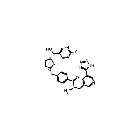 CN(Cc1cncc(-c2nnn[nH]2)c1)C(=O)c1ccc(C[C@@H]2CC[C@H](C(O)c3ccc(Cl)nc3)N2)cc1